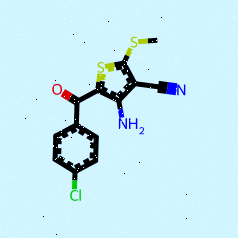 CSc1sc(C(=O)c2ccc(Cl)cc2)c(N)c1C#N